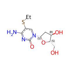 CCSc1cn([C@@H]2C[C@@H](O)[C@H](CO)O2)c(=O)nc1N